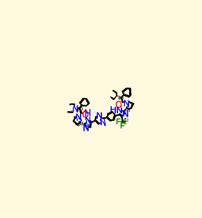 CCC(CC)[C@@H](C(=O)N1CCC[C@H]1c1nc(C(F)(F)F)c(-c2ccc(-c3ncc(-c4cnc([C@@H]5CCCN5C(=O)[C@@H](c5ccccc5)N(CC)CC)[nH]4)cn3)cc2)[nH]1)c1ccccc1